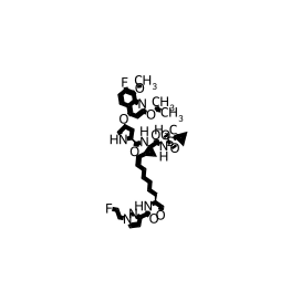 COc1c(F)ccc2c(O[C@H]3CN[C@H](C(=O)N[C@]4(C(=O)NS(=O)(=O)C5(C)CC5)CC4/C=C\CCCCC[C@@H](C=O)NC(=O)c4ccn(CCF)n4)C3)cc(OC(C)C)nc12